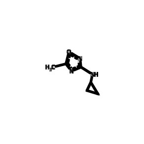 Cc1nc(NC2CC2)no1